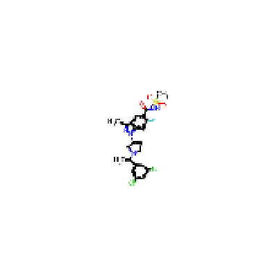 Cc1nn([C@@H]2CCN(C(C)c3cc(Cl)cc(Cl)c3)C2)c2cc(F)c(C(=O)NS(C)(=O)=O)cc12